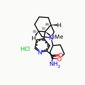 CO[C@]1(c2ccnc(C(N)=O)c2)[C@@H]2CCC[C@H]1CN(C1CCOCC1)C2.Cl